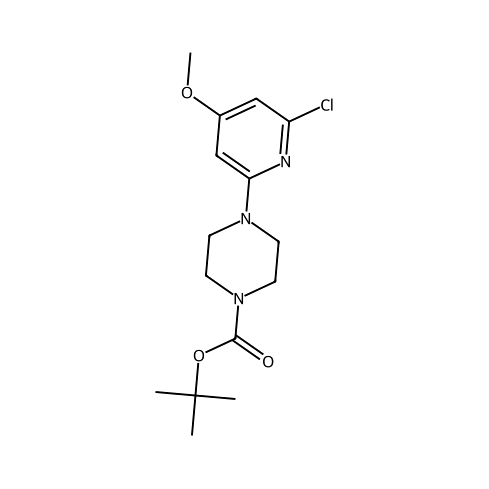 COc1cc(Cl)nc(N2CCN(C(=O)OC(C)(C)C)CC2)c1